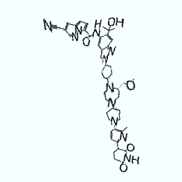 COC[C@@H]1CN(C2CCN(c3ccc(C4CCC(=O)NC4=O)nc3C)CC2)CCN1C1CCC(n2cc3cc(NC(=O)c4ccc5cc(C#N)cnn45)c(C(C)(C)O)cc3n2)CC1